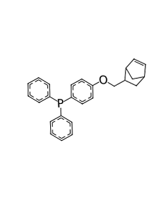 C1=CC2CC1CC2COc1ccc(P(c2ccccc2)c2ccccc2)cc1